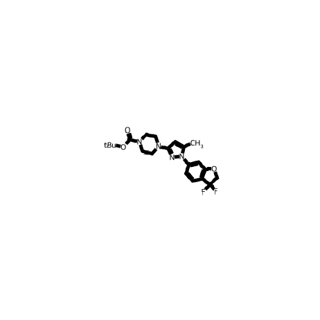 Cc1cc(N2CCN(C(=O)OC(C)(C)C)CC2)nn1-c1ccc2c(c1)OCC2(F)F